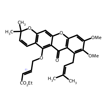 CCOC(=O)/C=C/COc1c2c(cc3oc4cc(OC)c(OC)c(CC=C(C)C)c4c(=O)c13)OC(C)(C)C=C2